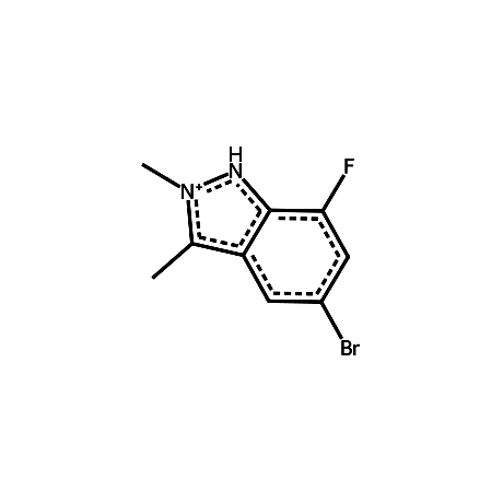 Cc1c2cc(Br)cc(F)c2[nH][n+]1C